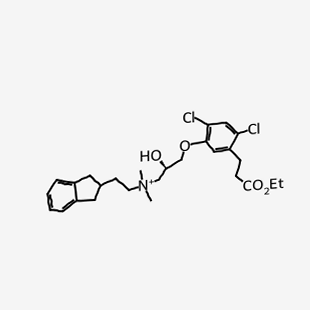 CCOC(=O)CCc1cc(OC[C@H](O)C[N+](C)(C)CCC2Cc3ccccc3C2)c(Cl)cc1Cl